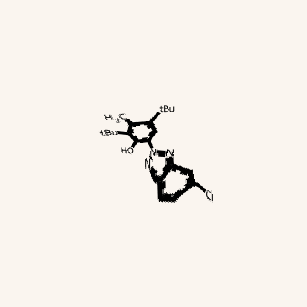 Cc1c(C(C)(C)C)cc(-n2nc3ccc(Cl)cc3n2)c(O)c1C(C)(C)C